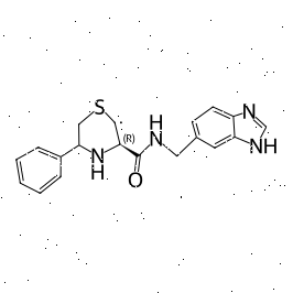 O=C(NCc1ccc2nc[nH]c2c1)[C@@H]1[CH]SCC(c2ccccc2)N1